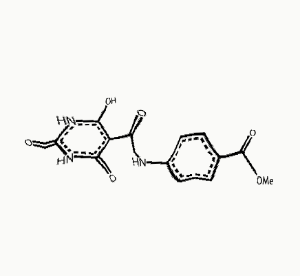 COC(=O)c1ccc(NC(=O)c2c(O)[nH]c(=O)[nH]c2=O)cc1